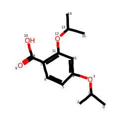 CC(C)Oc1ccc(C(=O)O)c(OC(C)C)c1